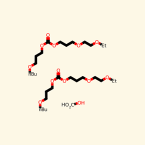 CCCCOCCCOC(=O)OCCCOCCOCC.CCCCOCCCOC(=O)OCCCOCCOCC.O=C(O)O